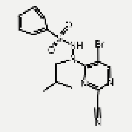 CC(C)CN(NS(=O)(=O)c1ccccc1)c1nc(C#N)ncc1Br